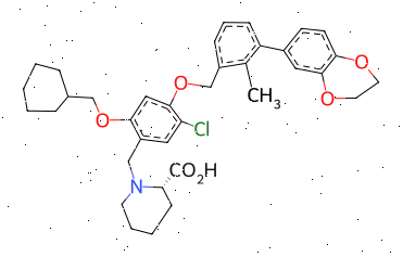 Cc1c(COc2cc(OCC3CCCCC3)c(CN3CCCC[C@H]3C(=O)O)cc2Cl)cccc1-c1ccc2c(c1)OCCO2